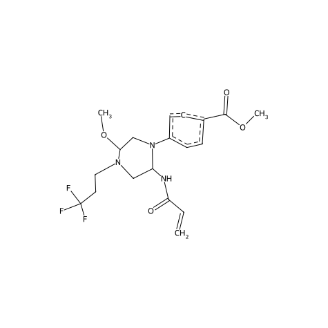 C=CC(=O)NC1CN(CCC(F)(F)F)C(OC)CN1c1ccc(C(=O)OC)cc1